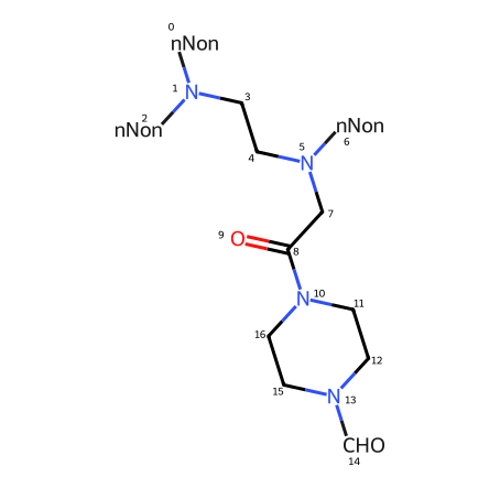 CCCCCCCCCN(CCCCCCCCC)CCN(CCCCCCCCC)CC(=O)N1CCN(C=O)CC1